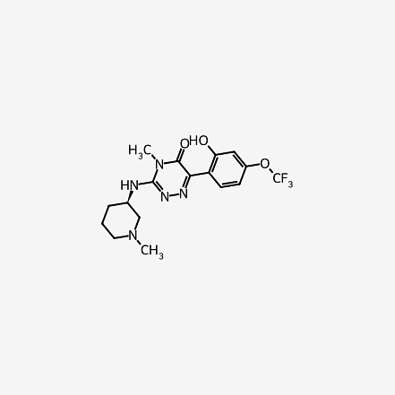 CN1CCC[C@@H](Nc2nnc(-c3ccc(OC(F)(F)F)cc3O)c(=O)n2C)C1